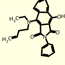 C=CCCN(CC)c1c2c(c(O)c3ccccc13)C(=O)N(c1ccccc1)C2=O